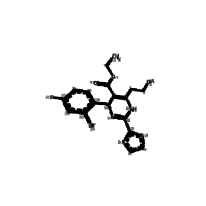 CCOC(=O)C1=C(CCO)NC(c2nccs2)=NC1c1ccc(F)cc1Br